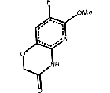 COc1nc2c(cc1F)OCC(=O)N2